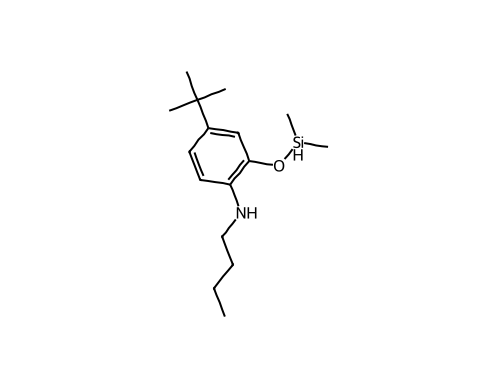 CCCCNc1ccc(C(C)(C)C)cc1O[SiH](C)C